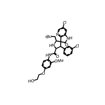 COc1cc(OCCO)ccc1NC(=O)C1NC(CC(C)(C)C)C2(C(=O)Nc3cc(Cl)cnc32)C1c1cccc(Cl)c1